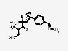 NN=Cc1ccc(C2(CC(N)(C(=O)O)C(=O)C(N)CC=O)CC2)cc1